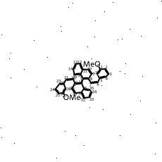 COc1cccc(/C=C\c2ccc3ccccc3c2-c2c(/C=C\c3cccc(OC)c3)ccc3ccccc23)c1